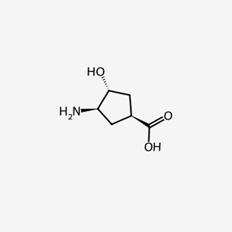 N[C@@H]1C[C@H](C(=O)O)C[C@H]1O